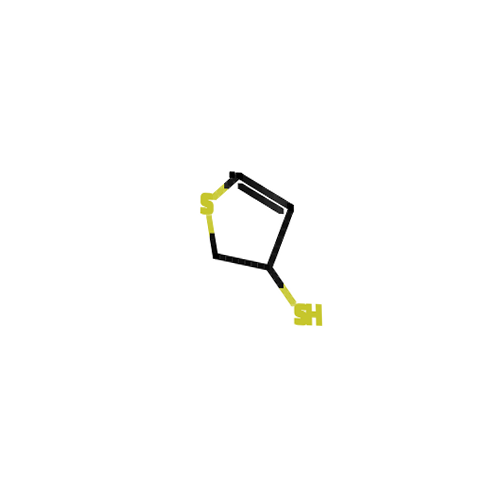 SC1C=[C]SC1